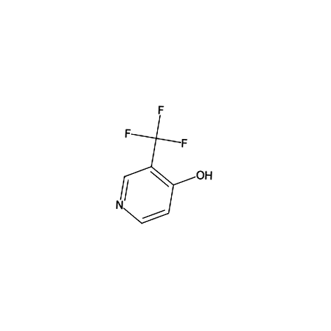 Oc1ccncc1C(F)(F)F